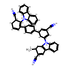 CC1Cc2c(c3ccccc3n2C2=CC(C#N)=CC(c3ccc(C4=C(n5c6ccccc6c6ccccc65)C(C#N)CC=C4)cc3)C2)C=C1C#N